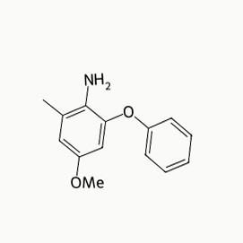 COc1cc(C)c(N)c(Oc2ccccc2)c1